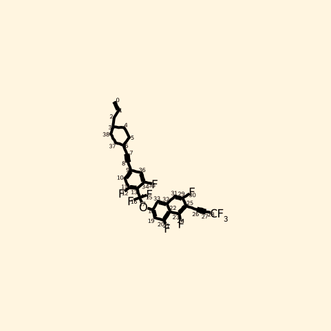 C=CCC1CCC(C#Cc2cc(F)c(C(F)(F)Oc3cc(F)c4c(F)c(C#CC(F)(F)F)c(F)cc4c3)c(F)c2)CC1